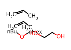 C=CC.C=CC.CCCCCCOCCCC.OCCO